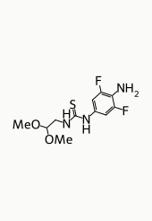 COC(CNC(=S)Nc1cc(F)c(N)c(F)c1)OC